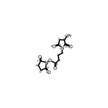 CC(C)C1CC(=O)N(CCCC(=O)ON2C(=O)CCC2=O)C1=O